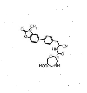 Cn1c(=O)oc2ccc(-c3ccc(CC(C#N)NC(=O)[C@@H]4CNC[C@@H](O)CO4)cc3)cc21